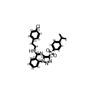 CC(C)c1ccc(S(=O)(=O)c2nnn3c2nc(NCCc2ccc(Cl)cc2)c2ccccc23)cc1